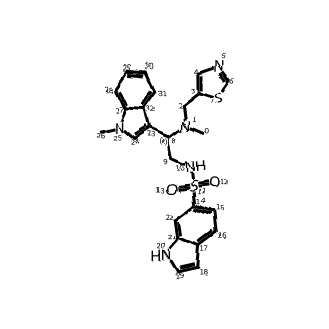 CN(Cc1cncs1)[C@@H](CNS(=O)(=O)c1ccc2cc[nH]c2c1)c1cn(C)c2ccccc12